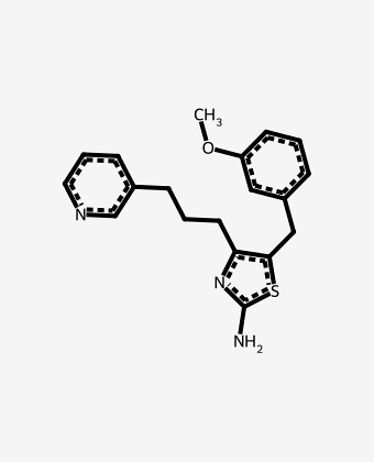 COc1cccc(Cc2sc(N)nc2CCCc2cccnc2)c1